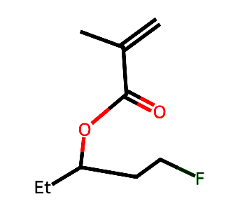 C=C(C)C(=O)OC(CC)CCF